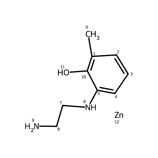 Cc1cccc(NCCN)c1O.[Zn]